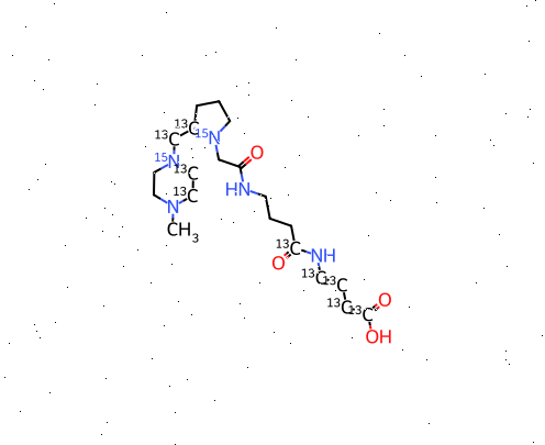 CN1CC[15N]([13CH2][13CH]2CCC[15N]2CC(=O)NCCC[13C](=O)N[13CH2][13CH2][13CH2][13C](=O)O)[13CH2][13CH2]1